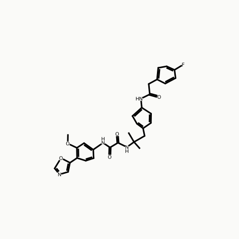 COc1cc(NC(=O)C(=O)NC(C)(C)Cc2ccc(NC(=O)Cc3ccc(F)cc3)cc2)ccc1-c1cnco1